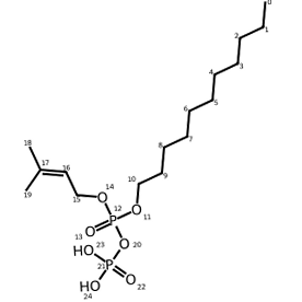 CCCCCCCCCCCOP(=O)(OCC=C(C)C)OP(=O)(O)O